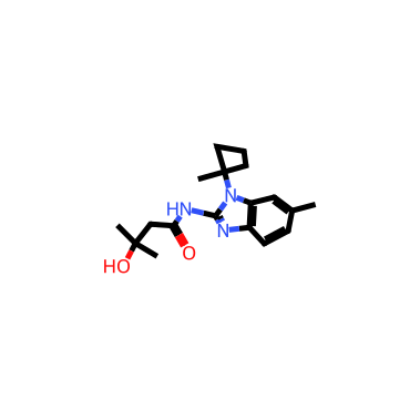 Cc1ccc2nc(NC(=O)CC(C)(C)O)n(C3(C)CCC3)c2c1